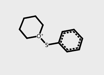 c1ccc(S[O+]2CCCCC2)cc1